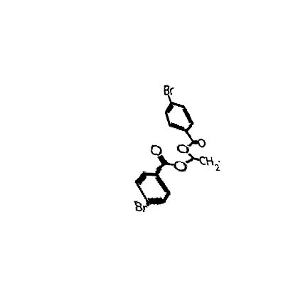 [CH2]C(OC(=O)c1ccc(Br)cc1)OC(=O)c1ccc(Br)cc1